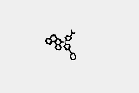 CC(C)c1ccc(N(c2ccc(C3CCCCC3)cc2)c2cc3ccc4ccccc4c3c3ccccc23)cc1